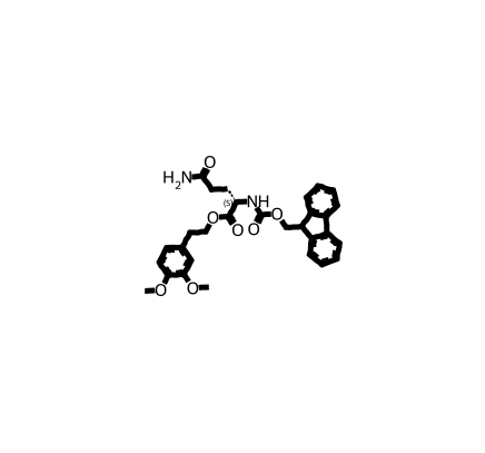 COc1ccc(CCOC(=O)[C@H](CCC(N)=O)NC(=O)OCC2c3ccccc3-c3ccccc32)cc1OC